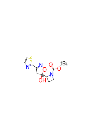 CC(C)(C)OC(=O)N1CCC1[C@]1(O)CC(c2nccs2)=NO1